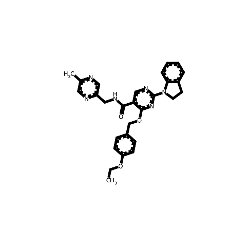 CCOc1ccc(COc2nc(N3CCc4ccccc43)ncc2C(=O)NCc2cnc(C)cn2)cc1